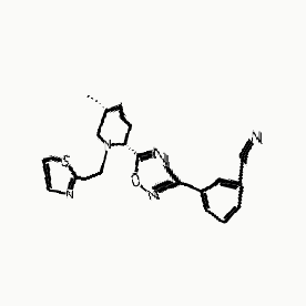 C[C@@H]1CC[C@H](c2nc(-c3cccc(C#N)c3)no2)N(Cc2nccs2)C1